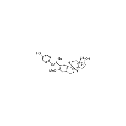 CCCCC([Se]c1ccc(O)cc1)c1cc2c(cc1OC)CC[C@@H]1[C@@H]2CC[C@]2(C)C(O)CC[C@@H]12